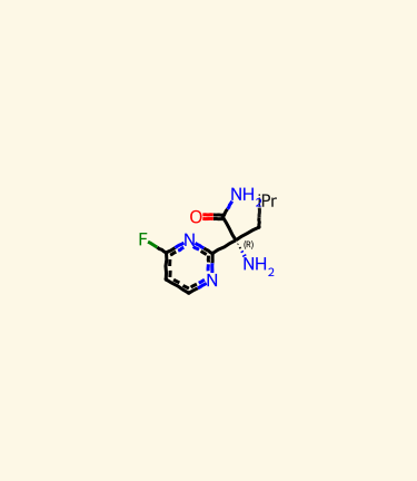 CC(C)C[C@](N)(C(N)=O)c1nccc(F)n1